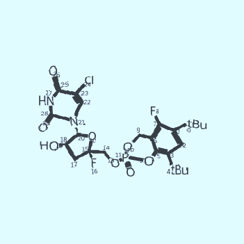 CC(C)(C)c1cc(C(C)(C)C)c2c(c1F)COP(=O)(OC[C@]1(F)C[C@@H](O)[C@H](n3cc(Cl)c(=O)[nH]c3=O)O1)O2